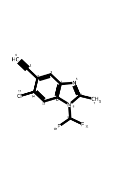 C#Cc1cc2nc(C)n(C(F)F)c2cc1Cl